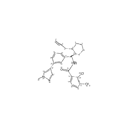 C=CCN1CCCC[C@H]1C(NC(=O)c1cccc(C(F)(F)F)c1Cl)c1cccc(-c2cnn(C)c2)c1